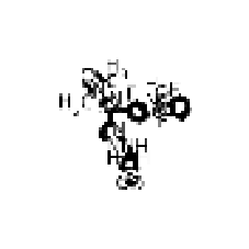 C[C@H]1COC[C@H](C)N1c1nc(-c2cccc(NS(=O)(=O)c3c(F)cccc3F)c2F)c(-c2ccnc(NC3[C@H]4CS(=O)(=O)C[C@@H]34)n2)s1